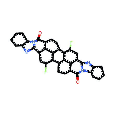 O=c1c2ccc3c4c(F)cc5c6c(ccc(c7c(F)cc(c2c37)c2nc3ccccc3n12)c46)c(=O)n1c2ccccc2nc51